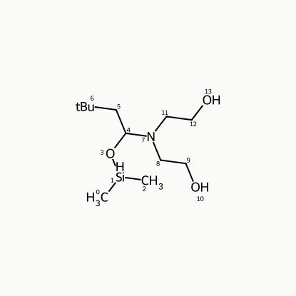 C[SiH](C)OC(CC(C)(C)C)N(CCO)CCO